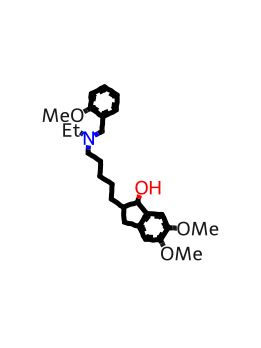 CCN(CCCCCC1Cc2cc(OC)c(OC)cc2C1O)Cc1ccccc1OC